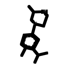 Cc1ccc(N2CCNC(C)C2)cc1C(C)C